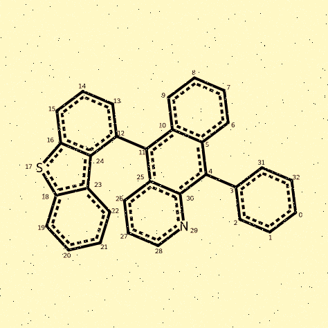 c1ccc(-c2c3ccccc3c(-c3cccc4sc5ccccc5c34)c3cccnc23)cc1